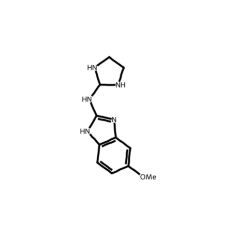 COc1ccc2[nH]c(NC3NCCN3)nc2c1